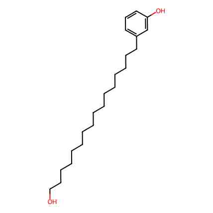 OCCCCCCCCCCCCCCCCc1cccc(O)c1